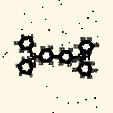 c1ccc([SiH](c2ccccc2)c2ccc(-c3ccc([SiH](c4ccccc4)c4ccccc4)cc3)cc2)cc1